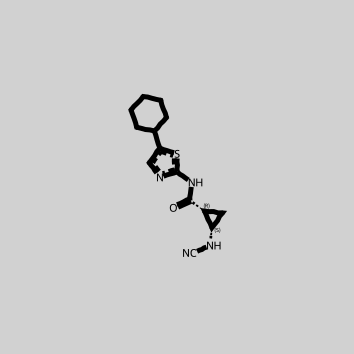 N#CN[C@H]1C[C@H]1C(=O)Nc1ncc(C2CCCCC2)s1